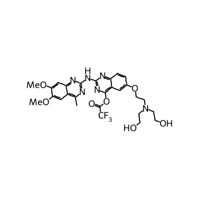 COc1cc2nc(Nc3nc(OC(=O)C(F)(F)F)c4cc(OCCN(CCO)CCO)ccc4n3)nc(C)c2cc1OC